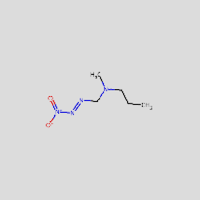 [CH2]CCN(C)CN=N[N+](=O)[O-]